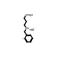 Br.CCCCCCCCCCPCc1ccccc1